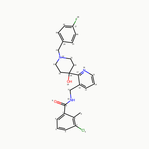 Cc1c(Cl)cccc1C(=O)NCc1cccnc1C1(O)CCN(Cc2ccc(F)cc2)CC1